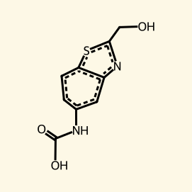 O=C(O)Nc1ccc2sc(CO)nc2c1